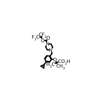 CC(C)(Oc1cc(C2CC2)ccc1CN1CCN(C(=O)OC(C(F)(F)F)C(F)(F)F)CC1)C(=O)O